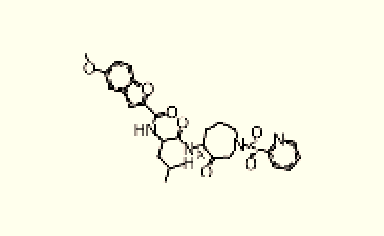 COc1ccc2oc(C(=O)NC(CC(C)C)C(=O)N[C@H]3CCCN(S(=O)(=O)c4ccccn4)CC3=O)cc2c1